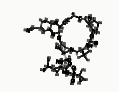 CC(C)(C)[C@H]1CN2C[C@@H](C[C@H]2C(=O)N[C@]2(C(=O)NS(=O)(=O)C3(C)CC3)C[C@H]2C(F)F)Oc2nc3cc(C#N)ccc3nc2CCCCC[C@@H]2CCC[C@H]2OC(=O)N1